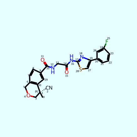 C[C@@]1(C#N)COCc2ccc(C(=O)NCC(=O)Nc3nc(-c4cccc(F)c4)cs3)cc21